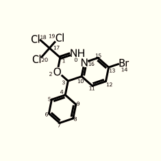 N=C(OC(c1ccccc1)c1ccc(Br)cn1)C(Cl)(Cl)Cl